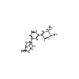 FC1C=CC(c2cncc(N3CC4CNC(C4)C3)c2)=CC1Cl